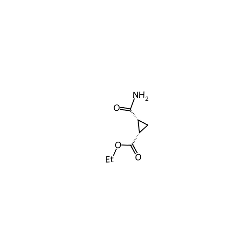 CCOC(=O)[C@H]1C[C@H]1C(N)=O